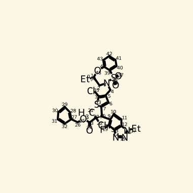 CC[C@@H]1CN(Cc2cc([C@@H](c3ccc4c(nnn4CC)c3F)C(C)(C)C(=O)OCc3ccccc3)sc2Cl)S(=O)(=O)c2ccccc2O1